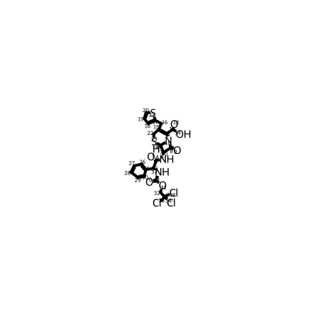 O=C(N[C@H](C(=O)N[C@@H]1C(=O)N2C(C(=O)O)=C(Cc3cccs3)CS[C@@H]12)c1ccccc1)OCC(Cl)(Cl)Cl